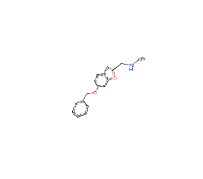 CCCNCc1cc2ccc(OCc3ccccc3)cc2o1